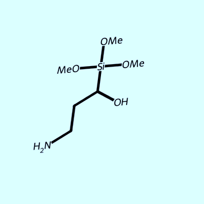 CO[Si](OC)(OC)C(O)CCN